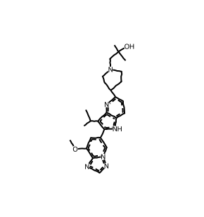 COc1cc(-c2[nH]c3ccc(C4CCN(CC(C)(C)O)CC4)nc3c2C(C)C)cn2ncnc12